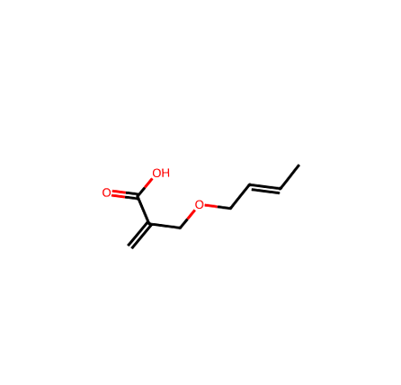 C=C(COCC=CC)C(=O)O